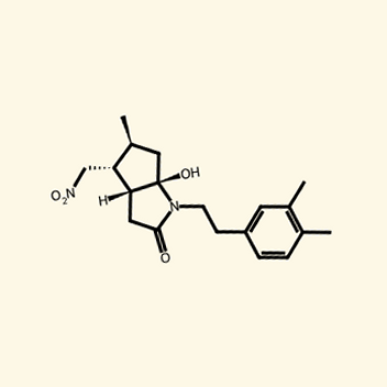 Cc1ccc(CCN2C(=O)C[C@@H]3[C@H](C[N+](=O)[O-])[C@@H](C)C[C@@]32O)cc1C